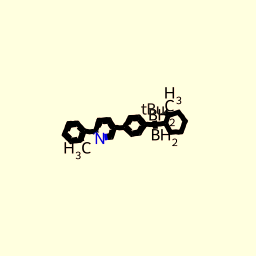 BC(B)(c1ccc(-c2ccc(-c3ccccc3C)nc2)cc1)C1CCCCC1(C)C(C)(C)C